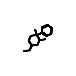 CCN1CCC(C)(c2ccccc2)C(C)C1